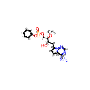 CO[C@H](CO[PH](=O)Oc1ccccc1)[C@@H](O)Cc1ccc2c(N)ncnn12